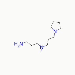 CN(CCCN)CCCN1CCCC1